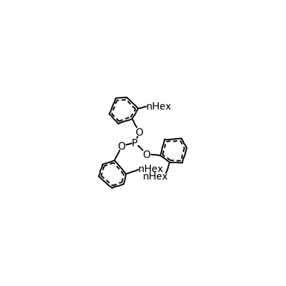 CCCCCCc1ccccc1OP(Oc1ccccc1CCCCCC)Oc1ccccc1CCCCCC